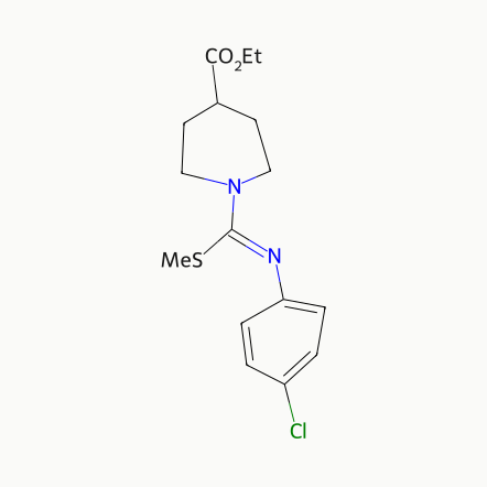 CCOC(=O)C1CCN(C(=Nc2ccc(Cl)cc2)SC)CC1